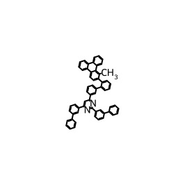 Cc1c(-c2ccccc2-c2cccc(-c3cc(-c4cccc(-c5ccccc5)c4)nc(-c4cccc(-c5ccccc5)c4)n3)c2)ccc2c3ccccc3c3ccccc3c12